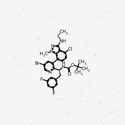 CSNc1nn(C)c2c(-c3cc(Br)cnc3[C@H](Cc3cc(F)cc(F)c3)NC(=O)OC(C)(C)C)ccc(Cl)c12